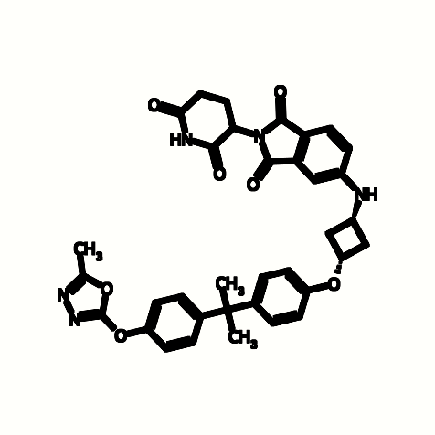 Cc1nnc(Oc2ccc(C(C)(C)c3ccc(O[C@H]4C[C@H](Nc5ccc6c(c5)C(=O)N(C5CCC(=O)NC5=O)C6=O)C4)cc3)cc2)o1